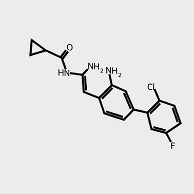 N/C(=C\c1ccc(-c2cc(F)ccc2Cl)cc1N)NC(=O)C1CC1